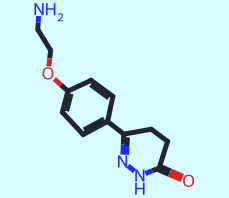 NCCOc1ccc(C2=NNC(=O)CC2)cc1